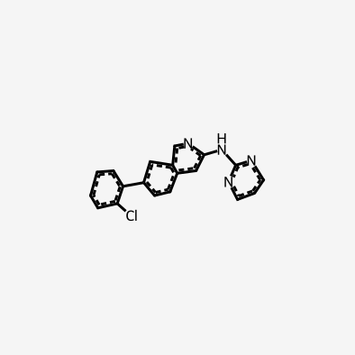 Clc1ccccc1-c1ccc2cc(Nc3ncccn3)ncc2c1